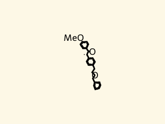 COc1ccc(C(=O)[CH]c2ccc(CCOCc3ccccc3)cc2)cc1